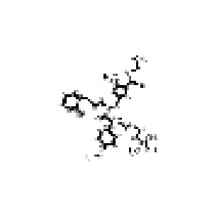 CCOC(=O)c1nc(CN(CCCc2ccccc2F)C(=O)[C@H](OCOCC[Si](C)(C)C)c2ccc(OC)cc2)sc1C